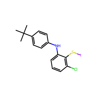 CC(C)(C)c1ccc(Nc2cccc(Cl)c2SI)cc1